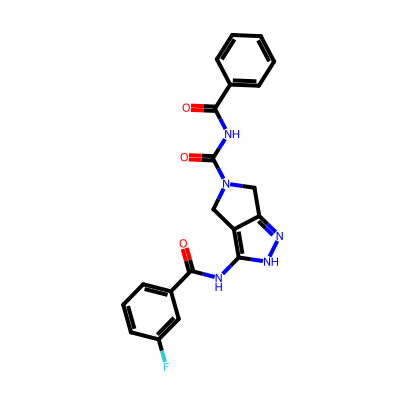 O=C(NC(=O)N1Cc2n[nH]c(NC(=O)c3cccc(F)c3)c2C1)c1ccccc1